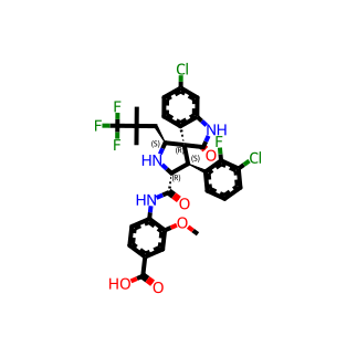 COc1cc(C(=O)O)ccc1NC(=O)[C@@H]1N[C@@H](CC(C)(C)C(F)(F)F)[C@@]2(C(=O)Nc3cc(Cl)ccc32)[C@H]1c1cccc(Cl)c1F